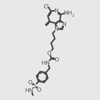 C=C1C=C(Cl)N=C(N)c2ncn(CCCCOC(=O)NCc3ccc(S(=O)(=O)NC)cc3)c21